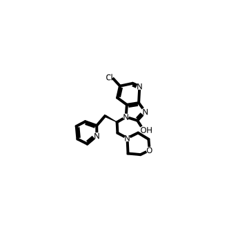 Oc1nc2ncc(Cl)cc2n1[C@H](Cc1ccccn1)CN1CCOCC1